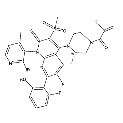 C=C(F)C(=O)N1CCN(c2c(S(C)(=O)=O)c(=S)n(-c3c(C)ccnc3C(C)C)c3nc(-c4c(O)cccc4F)c(F)cc23)[C@@H](C)C1